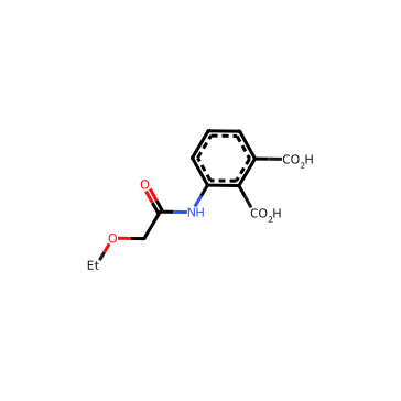 CCOCC(=O)Nc1cccc(C(=O)O)c1C(=O)O